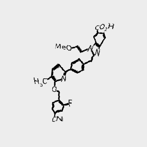 COCCn1c(Cc2ccc(-c3ccc(C)c(OCc4ccc(C#N)cc4F)n3)cc2)nc2ccc(C(=O)O)cc21